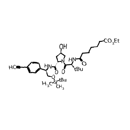 C#Cc1ccc([C@H](CO[Si](C)(C)C(C)(C)C)NC(=O)[C@@H]2C[C@@H](O)CN2C(=O)[C@@H](NC(=O)CCCCCC(=O)OCC)C(C)(C)C)cc1